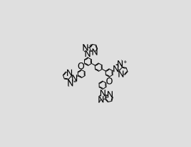 C[n+]1cn(-c2cccc(Oc3cc(-c4ccc(-c5cc(Oc6cccc(-n7c[n+](C)c8cccnc87)c6)cc(-n6c[n+](C)c7cccnc76)c5)cc4)cc(-n4c[n+](C)c5cccnc54)c3)c2)c2ncccc21